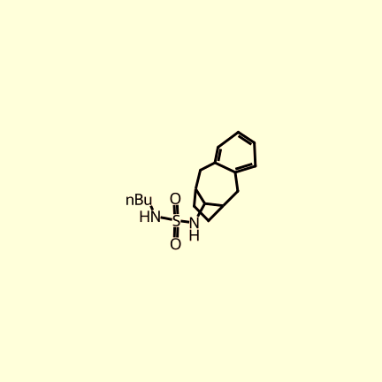 CCCCNS(=O)(=O)NC1C2CCC1Cc1ccccc1C2